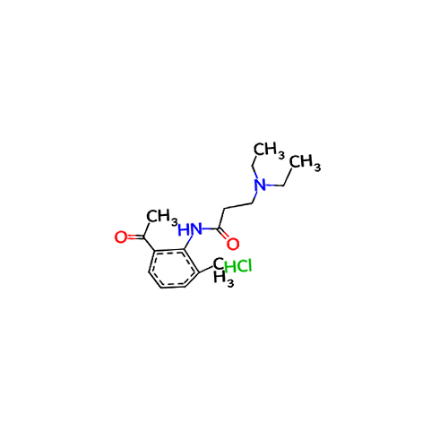 CCN(CC)CCC(=O)Nc1c(C)cccc1C(C)=O.Cl